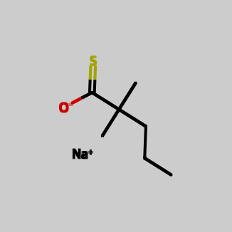 CCCC(C)(C)C([O-])=S.[Na+]